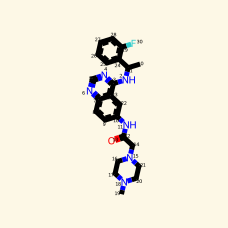 CC(Nc1ncnc2ccc(NC(=O)CN3CCN(C)CC3)cc12)c1ccccc1F